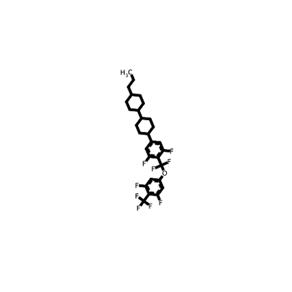 CCCC1CCC(C2CCC(c3cc(F)c(C(F)(F)Oc4cc(F)c(C(F)(F)F)c(F)c4)c(F)c3)CC2)CC1